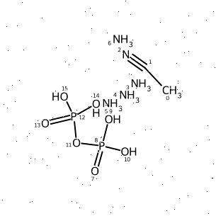 CC#N.N.N.N.N.O=P(O)(O)OP(=O)(O)O